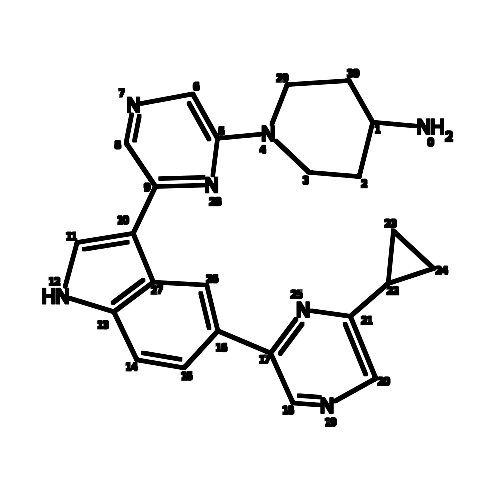 NC1CCN(c2cncc(-c3c[nH]c4ccc(-c5cncc(C6CC6)n5)cc34)n2)CC1